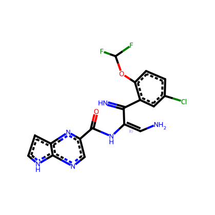 N=C(/C(=C\N)NC(=O)c1cnc2[nH]ccc2n1)c1cc(Cl)ccc1OC(F)F